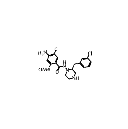 COc1cc(N)c(Cl)cc1C(=O)NN1CCNCC1Cc1cccc(Cl)c1